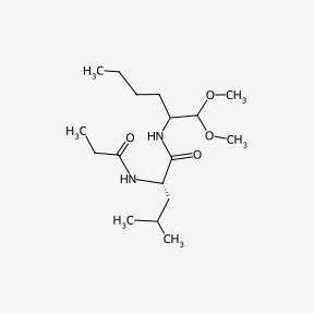 CCCCC(NC(=O)[C@H](CC(C)C)NC(=O)CC)C(OC)OC